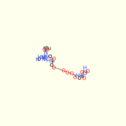 C[C@@H](NC(=O)c1cccc(NC2(c3nnc(-c4ccncc4)[nH]3)CCN(C(=O)OC(C)(C)C)CC2)c1)c1cccc(OCCCCCCOCCOCCOCCC(=O)Nc2cccc3c2CN(C2CCC(=O)NC2=O)C3=O)c1